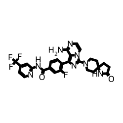 Nc1nccn2c(N3CCC4(CCC(=O)N4)CC3)nc(-c3ccc(C(=O)Nc4cc(C(F)(F)F)ccn4)cc3F)c12